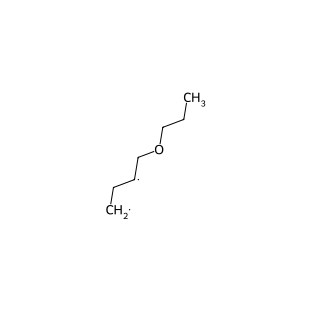 [CH2]C[CH]COCCC